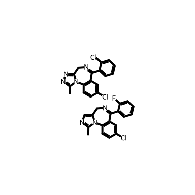 Cc1ncc2n1-c1ccc(Cl)cc1C(c1ccccc1F)=NC2.Cc1nnc2n1-c1ccc(Cl)cc1C(c1ccccc1Cl)=NC2